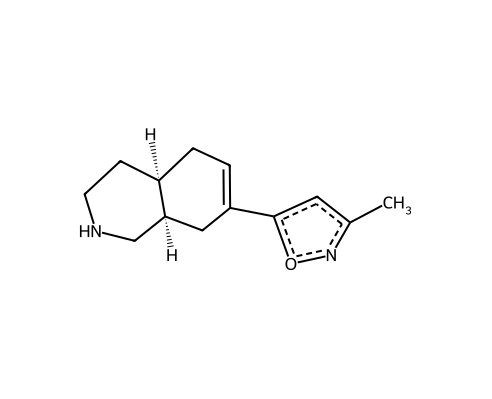 Cc1cc(C2=CC[C@@H]3CCNC[C@@H]3C2)on1